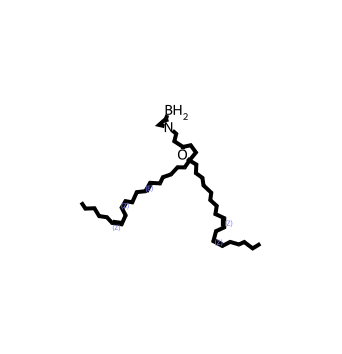 BC1CN1CCC1CCC(CCCCC/C=C/CC/C=C\C/C=C\CCCCC)(CCCCCCCC/C=C\C/C=C\CCCCC)O1